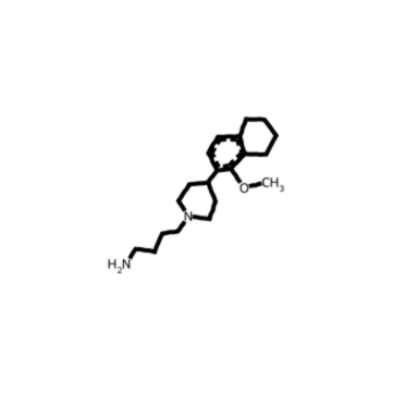 COc1c(C2CCN(CCCCN)CC2)ccc2c1CCCC2